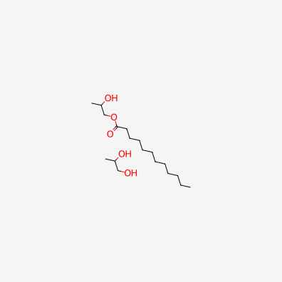 CC(O)CO.CCCCCCCCCCCC(=O)OCC(C)O